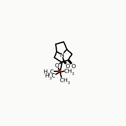 CCC1CC2CCC(CC1=O)N2C(=O)OC(C)(C)C